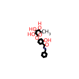 C[C@@H]1O[C@@H](Oc2ccc(C(=O)/C=C/c3ccccc3)c(O)c2)[C@H](O)[C@H](O)[C@H]1O